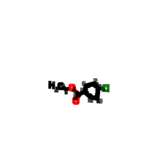 CCOC(=O)c1c[c]c(Cl)cc1